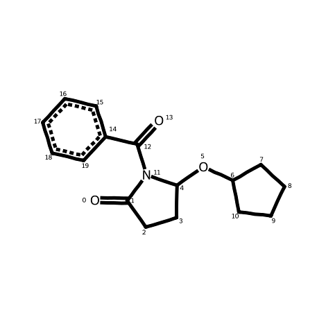 O=C1CCC(OC2CCCC2)N1C(=O)c1ccccc1